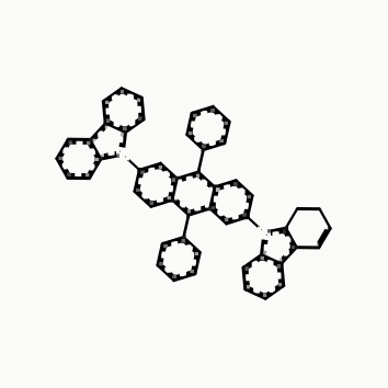 C1=Cc2c(n(-c3ccc4c(-c5ccccc5)c5cc(-n6c7ccccc7c7ccccc76)ccc5c(-c5ccccc5)c4c3)c3ccccc23)CC1